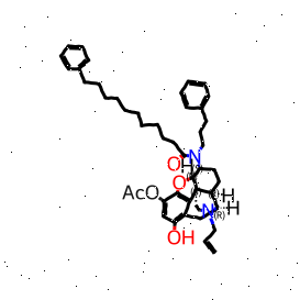 C=CCN1CC[C@]23c4c5c(O)cc(OC(C)=O)c4O[C@H]2[C@@H](N(CCCc2ccccc2)C(=O)CCCCCCCCCCc2ccccc2)CC[C@H]3[C@H]1C5